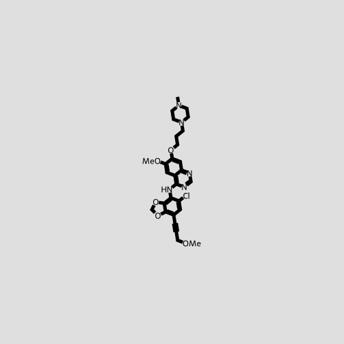 COCC#Cc1cc(Cl)c(Nc2ncnc3cc(OCCCN4CCN(C)CC4)c(OC)cc23)c2c1OCO2